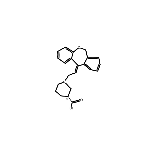 O=C(O)[C@@H]1CCCN(CC=C2c3ccccc3COc3ccccc32)C1